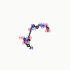 Cc1ncsc1-c1ccc(CNC(=O)[C@@H]2C[C@@H](O)CN2C(=O)[C@@H](NC(=O)CCCCCCC(=O)NCc2cc(-c3cccc(-c4csc(NC(=O)CNC(=O)c5ccn(S(C)(=O)=O)c5)n4)c3)ccn2)C(C)(C)C)cc1